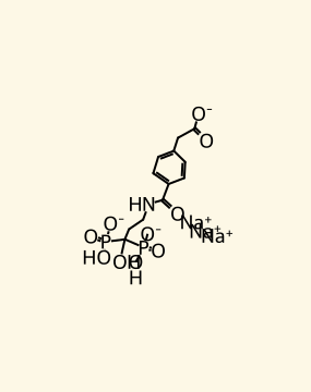 O=C([O-])Cc1ccc(C(=O)NCCC(O)(P(=O)([O-])O)P(=O)([O-])O)cc1.[Na+].[Na+].[Na+]